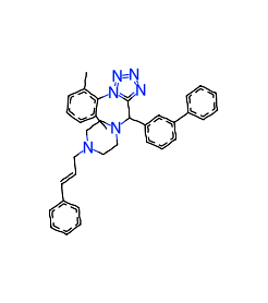 Cc1cccc(C)c1-n1nnnc1C(c1cccc(-c2ccccc2)c1)N1CCN(CC=Cc2ccccc2)CC1